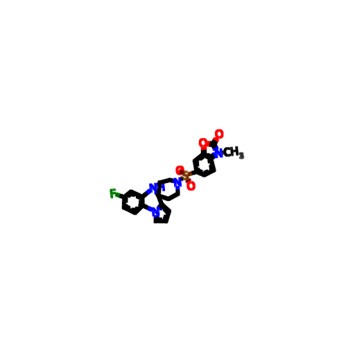 Cn1c(=O)oc2cc(S(=O)(=O)N3CCC4(CC3)Nc3cc(F)ccc3-n3cccc34)ccc21